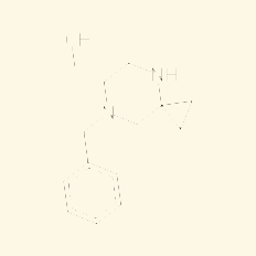 CC[C@@H]1CNC2(CC2)CN1Cc1ccccc1